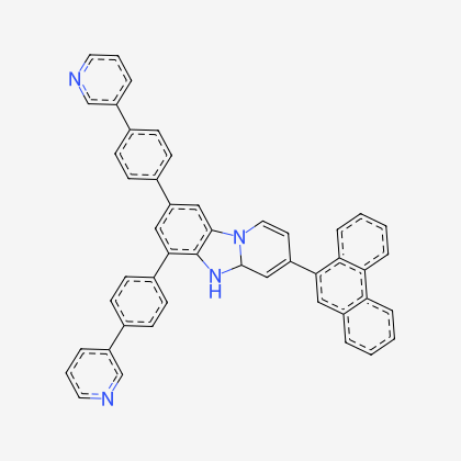 C1=CN2c3cc(-c4ccc(-c5cccnc5)cc4)cc(-c4ccc(-c5cccnc5)cc4)c3NC2C=C1c1cc2ccccc2c2ccccc12